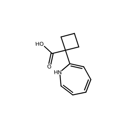 O=C(O)C1(C2=CC=CC=CN2)CCC1